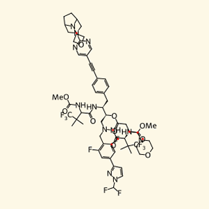 COC(=O)NC(C(=O)N[C@@H](Cc1ccc(C#Cc2cnc(N3CC4CCC(C3)N4C3COC3)nc2)cc1)[C@H](CN(Cc1c(F)cc(-c2ccn(C(F)F)n2)cc1F)NC(=O)[C@@H](NC(=O)OC)C(C)(C)C(F)(F)F)OC(=O)CCCN1CCOCC1)C(C)(C)C(F)(F)F